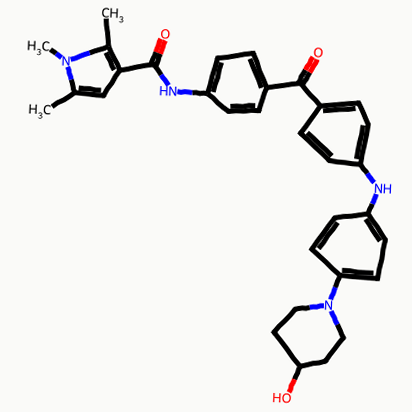 Cc1cc(C(=O)Nc2ccc(C(=O)c3ccc(Nc4ccc(N5CCC(O)CC5)cc4)cc3)cc2)c(C)n1C